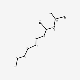 CCCCCCC[CH]([Ti])OC(C)C